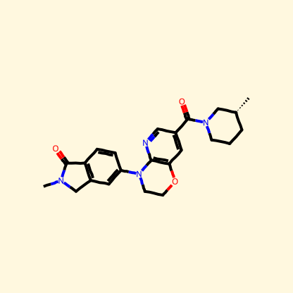 C[C@@H]1CCCN(C(=O)c2cnc3c(c2)OCCN3c2ccc3c(c2)CN(C)C3=O)C1